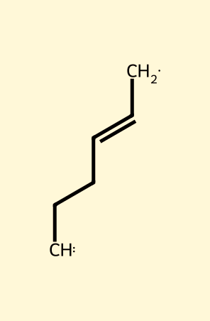 [CH]CC/C=C/[CH2]